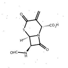 C=C1C(=O)S[C@@H]2[C@H](NC=O)C(=O)N2[C@H]1C(=O)O